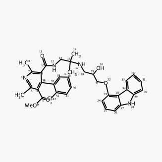 COC(=O)c1c(C)nc(C)c(C(=O)NCC(C)(C)NCC(O)COc2cccc3[nH]c4ccccc4c23)c1-c1ccccc1Cl